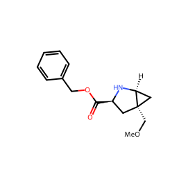 COC[C@]12C[C@@H](C(=O)OCc3ccccc3)N[C@H]1C2